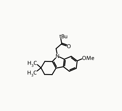 COc1ccc2c3c(n(CC(=O)C(C)(C)C)c2c1)CC(C)(C)CC3